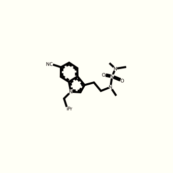 CC(C)Cn1cc(CCN(C)S(=O)(=O)N(C)C)c2ccc(C#N)cc21